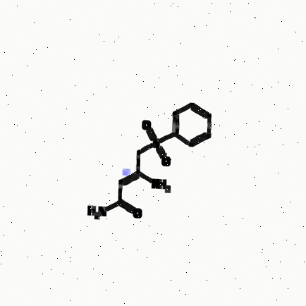 NC(=O)/C=C(\N)CS(=O)(=O)c1ccccc1